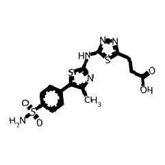 Cc1nc(Nc2nnc(CCC(=O)O)s2)sc1-c1ccc(S(N)(=O)=O)cc1